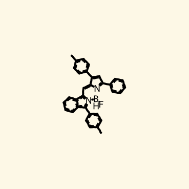 Cc1ccc(C2=CC(c3ccccc3)=N/C2=C\c2c3ccccc3c(-c3ccc(C)cc3)n2BF)cc1